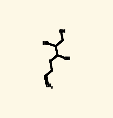 C=CCSC(O)C(O)CO